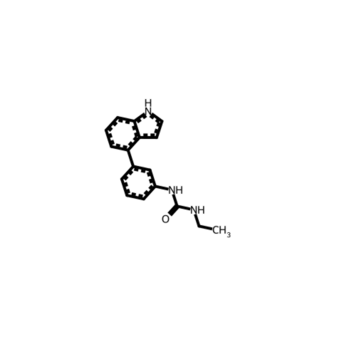 CCNC(=O)Nc1cccc(-c2cccc3[nH]ccc23)c1